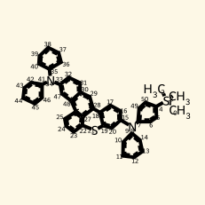 C[Si](C)(C)c1ccc(N(c2ccccc2)c2ccc3c(c2)Sc2cccc4c2c-3cc2ccc(N(c3ccccc3)c3ccccc3)cc24)cc1